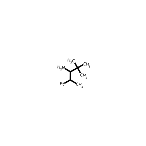 CCC(C)C(N)C(C)(C)C